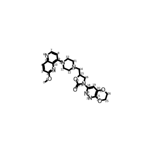 COc1ccc2nccc(N3CCN(CC4CN(c5cc6c(nn5)OCCO6)C(=O)O4)CC3)c2n1